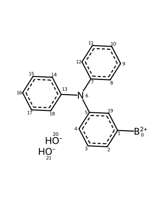 [B+2]c1cccc(N(c2ccccc2)c2ccccc2)c1.[OH-].[OH-]